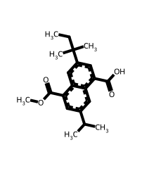 CCC(C)(C)c1cc(C(=O)O)c2cc(C(C)C)cc(C(=O)OC)c2c1